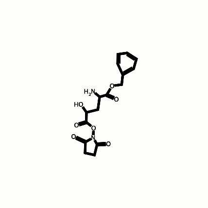 NC(CC(O)C(=O)ON1C(=O)CCC1=O)C(=O)OCc1ccccc1